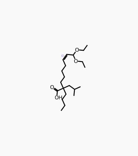 CCCCC(CCCC/C=C\C(OCC)OCC)(CC(C)C)C(=O)O